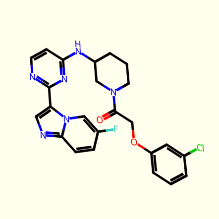 O=C(COc1cccc(Cl)c1)N1CCCC(Nc2ccnc(-c3cnc4ccc(F)cn34)n2)C1